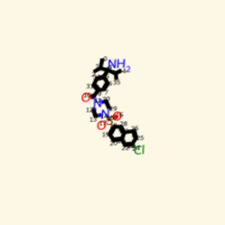 CC(C)C(N)(c1ccc(C(=O)N2CCN(S(=O)(=O)c3ccc4cc(Cl)ccc4c3)CC2)cc1)C(C)C